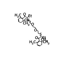 CCC(SCCOCCOCCSC(CC)C(=O)C1=C(C)C=CCC1(C)C)C(=O)C1=C(C)C=CCC1(C)C